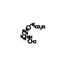 CCOC(=O)CN(C)CC1CCN(c2ncc3ncnc(Nc4cccc(Cl)c4)c3n2)CC1